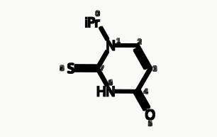 CC(C)n1ccc(=O)[nH]c1=S